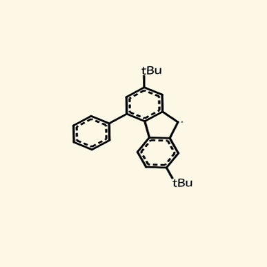 CC(C)(C)c1ccc2c(c1)[CH]c1cc(C(C)(C)C)cc(-c3ccccc3)c1-2